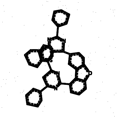 c1ccc(-c2cc(-c3ccccc3)nc(-c3cccc4oc5ccc(-c6nc(-c7ccccc7)nc7c6sc6ccccc67)cc5c34)n2)cc1